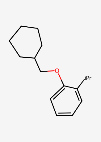 CC(C)c1ccccc1OCC1CCCCC1